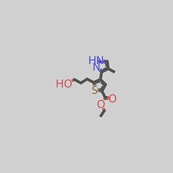 CCOC(=O)c1cc(-c2n[nH]cc2C)c(CCCO)s1